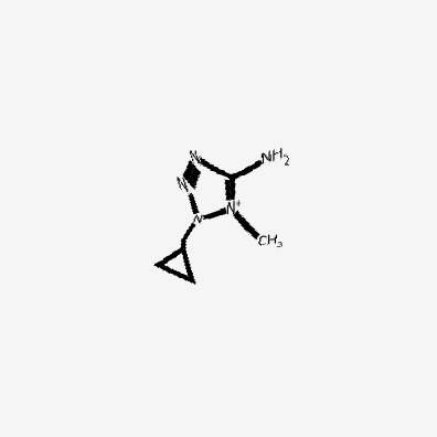 C[n+]1c(N)nnn1C1CC1